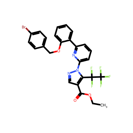 CCOC(=O)c1cnn(-c2cccc(-c3ccccc3OCc3ccc(Br)cc3)n2)c1C(F)(F)C(F)(F)F